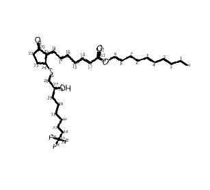 CCCCCCCCCCOC(=O)CCCCCCC1C(=O)CCC1SCC(O)CCCCCCC(F)(F)F